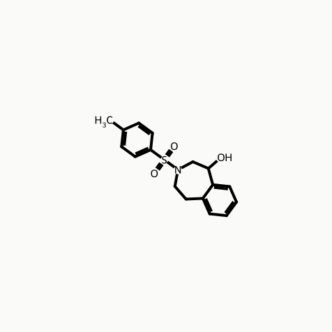 Cc1ccc(S(=O)(=O)N2CCc3ccccc3C(O)C2)cc1